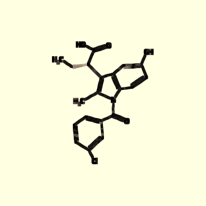 CC[C@H](C(=O)O)c1c(C)n(C(=O)c2cccc(Cl)c2)c2ccc(O)cc12